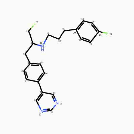 FCC(Cc1ccc(-c2cncnc2)cc1)NCCCc1ccc(F)cc1